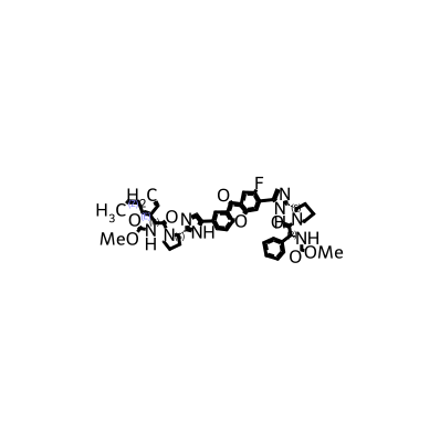 C=C/C(=C\C=C/C)[C@@H](NC(=O)OC)C(=O)N1CCC[C@H]1c1ncc(-c2ccc3oc4cc(-c5cnc([C@@H]6CCCN6C(=O)[C@H](NC(=O)OC)c6ccccc6)[nH]5)c(F)cc4c(=O)c3c2)[nH]1